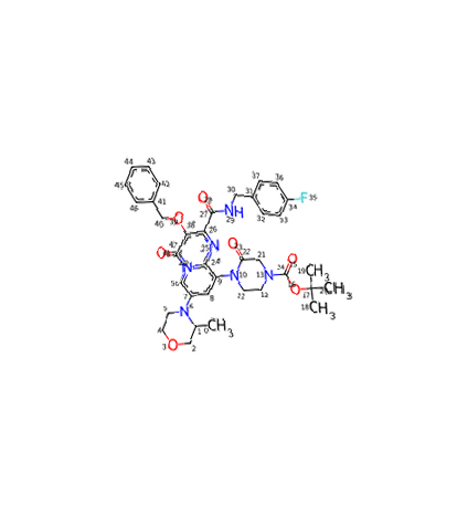 CC1COCCN1c1cc(N2CCN(C(=O)OC(C)(C)C)CC2=O)c2nc(C(=O)NCc3ccc(F)cc3)c(OCc3ccccc3)c(=O)n2c1